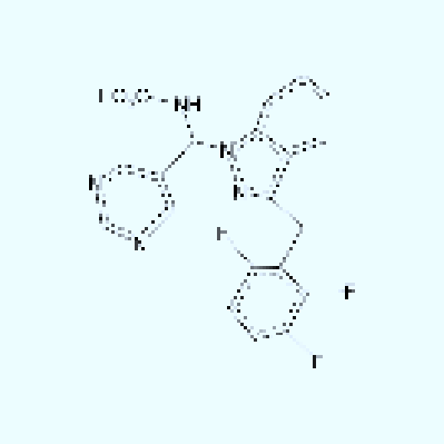 O=C(O)NC(c1cncnc1)n1nc(Cc2c(F)ccc(F)c2F)c2ccccc21